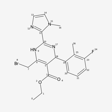 CCOC(=O)C1=C(CBr)NC(c2nccn2C)=NC1c1cccc(F)c1C